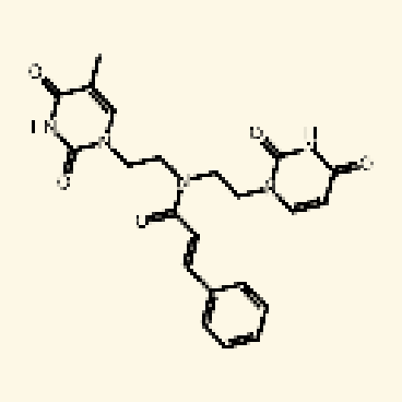 Cc1cn(CCN(CCn2ccc(=O)[nH]c2=O)C(=O)/C=C/c2ccccc2)c(=O)[nH]c1=O